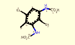 CCc1cc(NC(=O)O)c(CC)c(NC(=O)O)c1C